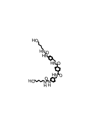 O=C(NCCCCCO)Nc1ccc(CNC(=O)c2ccc(C(=O)NCc3ccc(NC(=O)NCCCCCO)cc3)cc2)cc1